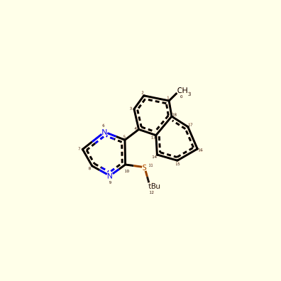 Cc1ccc(-c2nccnc2SC(C)(C)C)c2ccccc12